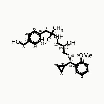 COc1ccccc1[C@H](OC[C@H](O)CNC(C)(C)Cc1ccc(CO)cc1)C1CC1